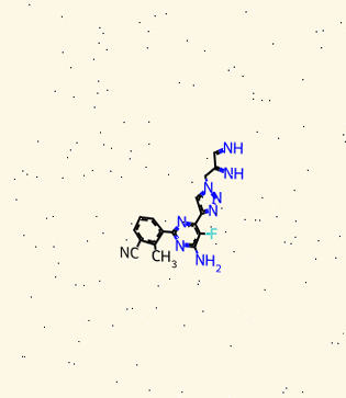 Cc1c(C#N)cccc1-c1nc(N)c(F)c(-c2cn(CC(=N)C=N)nn2)n1